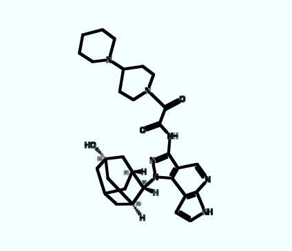 O=C(Nc1nn([C@H]2[C@@H]3CC4C[C@H]2C[C@@](O)(C4)C3)c2c1cnc1[nH]ccc12)C(=O)N1CCC(N2CCCCC2)CC1